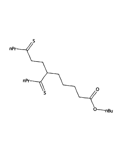 CCCCOC(=O)CCCCC(CCC(=S)CCC)C(=S)CCC